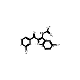 CCC(=O)Nc1c(C(=O)c2cccc(Cl)c2)[nH]c2ccc(Cl)cc12